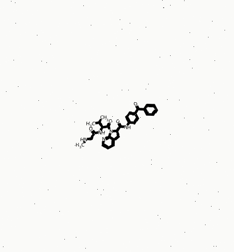 CNCC(=O)NC(C(=O)N1c2ncccc2CC1C(=O)Nc1ccc(C(=O)c2ccccc2)cc1)C(C)C